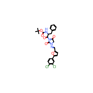 CC(C)(C)OC(=O)NC(Cc1ccccc1)C(=O)N1C(=O)CN(/N=C/c2ccc(-c3ccc(Cl)c(Cl)c3)o2)C1=O